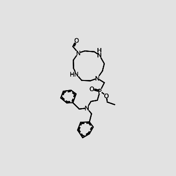 CCOP(=O)(CCN(Cc1ccccc1)Cc1ccccc1)CN1CCNCCN(C=O)CCNCC1